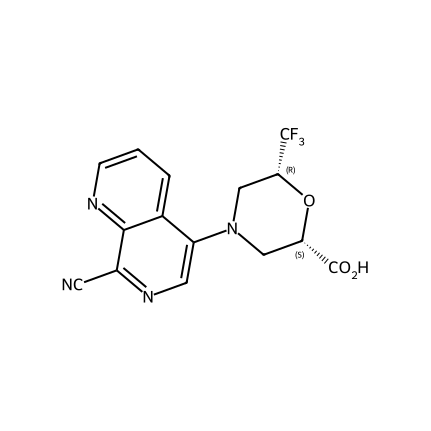 N#Cc1ncc(N2C[C@@H](C(=O)O)O[C@@H](C(F)(F)F)C2)c2cccnc12